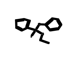 CCO[Si](I)(Oc1ccccc1)c1ccccc1